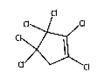 ClC1=C(Cl)C(Cl)(Cl)C(Cl)(Cl)C1